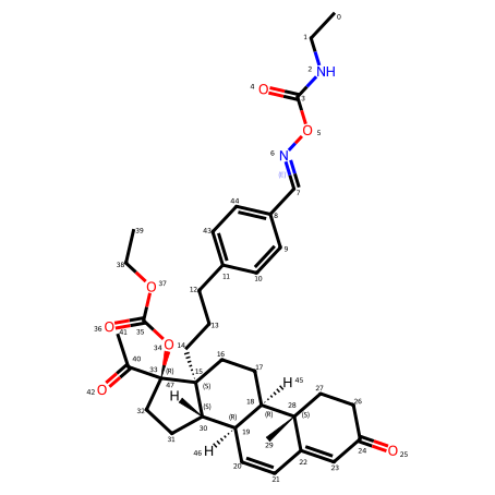 CCNC(=O)O/N=C/c1ccc(CCC[C@]23CC[C@@H]4[C@@H](C=CC5=CC(=O)CC[C@]54C)[C@@H]2CC[C@]3(OC(=O)OCC)C(C)=O)cc1